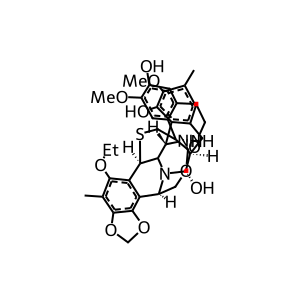 CCOc1c(C)c2c(c3c1[C@H]1SC[C@]4(NCCc5cc(O)c(OC)cc54)C(=O)OC[C@@H]3N3C1[C@H]1N[C@@H](Cc4cc(C)c(OC)c(O)c41)[C@@H]3O)OCO2